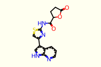 O=C1CCC(C(=O)Nc2nc(-c3c[nH]c4ncccc34)cs2)O1